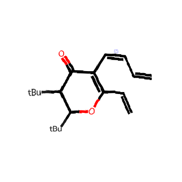 C=C/C=C\C1=C(C=C)OC(C(C)(C)C)C(C(C)(C)C)C1=O